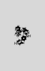 CC1CNCCN1c1ccc(Nc2ncc3ccn(Cc4cccnc4N(C)S(C)(=O)=O)c3n2)cc1